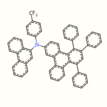 FC(F)(F)c1ccc(N(c2ccc3c(c2)c2ccccc2c2c(-c4ccccc4)cc(-c4ccccc4)c(-c4ccccc4)c32)c2cc3ccccc3c3ccccc23)cc1